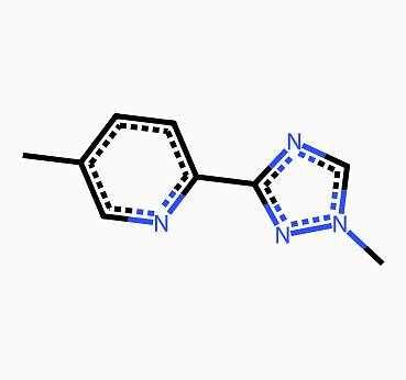 Cc1ccc(-c2ncn(C)n2)nc1